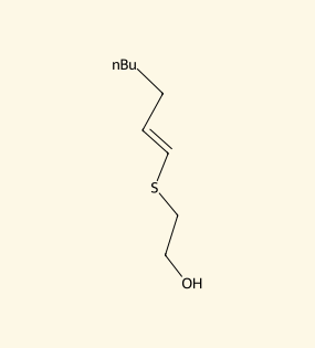 CCCCCC=CSCCO